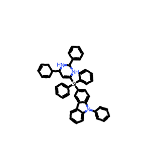 C1=CCC(C2C=C([Si](c3ccccc3)(c3ccccc3)c3ccc4c(c3)c3ccccc3n4-c3ccccc3)NC(c3ccccc3)N2)C=C1